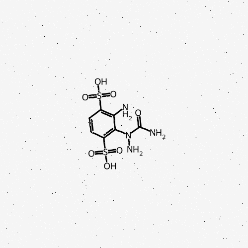 NC(=O)N(N)c1c(S(=O)(=O)O)ccc(S(=O)(=O)O)c1N